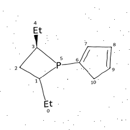 CCC1C[C@@H](CC)P1C1=CC=CC1